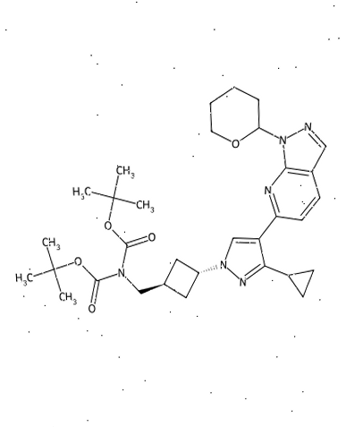 CC(C)(C)OC(=O)N(C[C@H]1C[C@H](n2cc(-c3ccc4cnn(C5CCCCO5)c4n3)c(C3CC3)n2)C1)C(=O)OC(C)(C)C